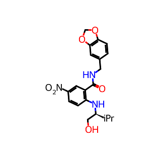 CC(C)[C@@H](CO)Nc1ccc([N+](=O)[O-])cc1C(=O)NCc1ccc2c(c1)OCO2